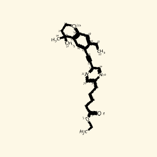 CCOC(=O)CCCCc1cnc(C#Cc2cc3c(cc2CC)OCCC3(C)C)cn1